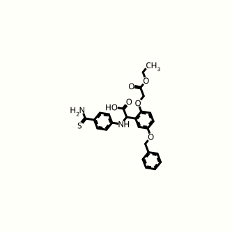 CCOC(=O)COc1ccc(OCc2ccccc2)cc1C(Nc1ccc(C(N)=S)cc1)C(=O)O